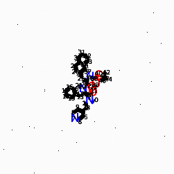 CN(CCc1ccncc1)C(=O)[C@@H](Cc1ccccc1)N(C)C(=O)[C@@H](Cc1ccc2ccccc2c1)N(C)C(=O)OC(C)(C)C